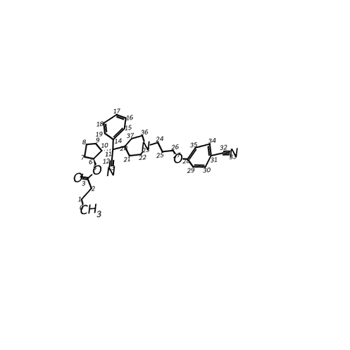 CCCC(=O)O[C@H]1CCC[C@@H]1C(C#N)(c1ccccc1)C1CCN(CCCOc2ccc(C#N)cc2)CC1